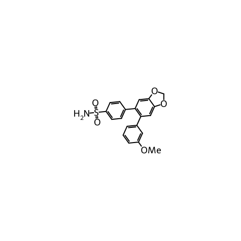 COc1cccc(-c2cc3c(cc2-c2ccc(S(N)(=O)=O)cc2)OCO3)c1